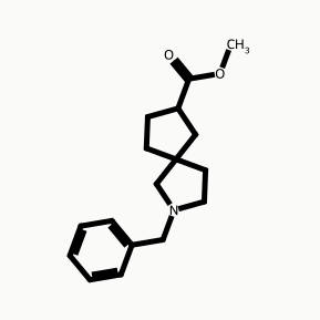 COC(=O)C1CCC2(CCN(Cc3ccccc3)C2)C1